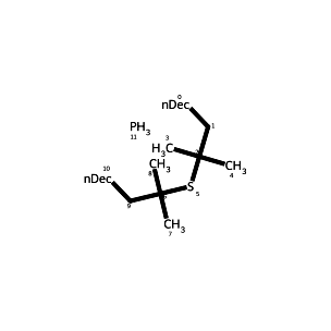 CCCCCCCCCCCC(C)(C)SC(C)(C)CCCCCCCCCCC.P